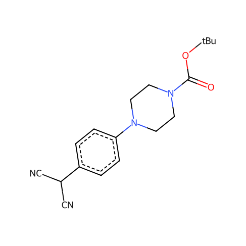 CC(C)(C)OC(=O)N1CCN(c2ccc(C(C#N)C#N)cc2)CC1